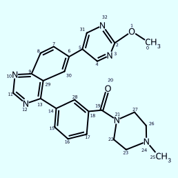 COc1ncc(-c2ccc3ncnc(-c4cccc(C(=O)N5CCN(C)CC5)c4)c3c2)cn1